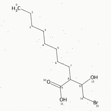 CCCCCCCCC(C(=O)O)C(O)CBr